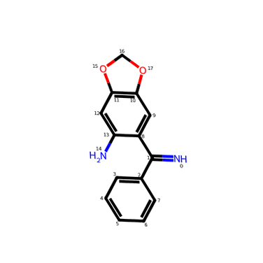 N=C(c1ccccc1)c1cc2c(cc1N)OCO2